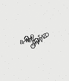 O=C(Nc1cc2sc(N3CCOCC3)nc2nc1N1CCCCC1)c1cccc(Br)n1